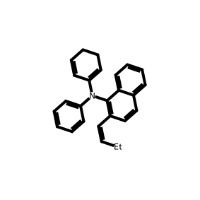 CC/C=C\c1ccc2ccccc2c1N(C1=CCCC=C1)c1ccccc1